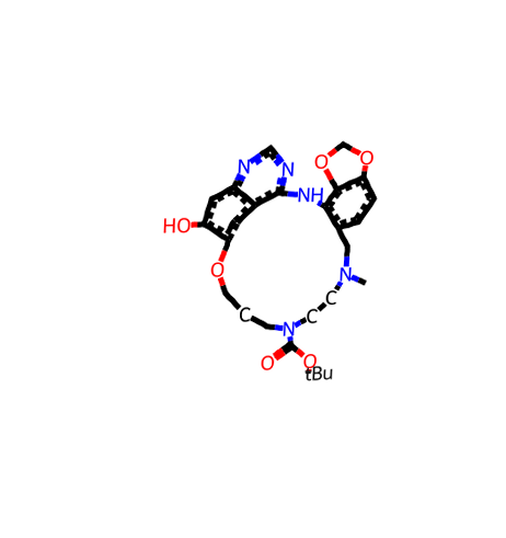 CN1CCN(C(=O)OC(C)(C)C)CCCOc2cc3c(ncnc3cc2O)Nc2c(ccc3c2OCO3)C1